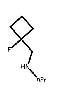 CCCNCC1(F)CCC1